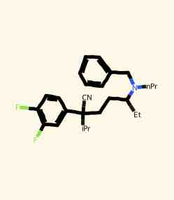 CCCN(Cc1ccccc1)C(CC)CCC(C#N)(c1ccc(F)c(F)c1)C(C)C